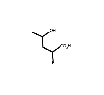 CCC(CC(C)O)C(=O)O